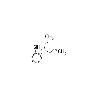 C=CCC(CC=C)c1ccccc1[SiH3]